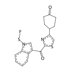 O=C1CCC(c2csc(C(=O)c3cn(SF)c4ccccc34)n2)CC1